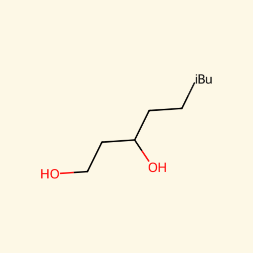 CCC(C)CCC(O)CCO